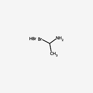 Br.CC(N)Br